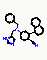 N#Cc1ccc(N(Cc2ccccc2)Cc2cnc[nH]2)cc1-c1cccc2ccccc12